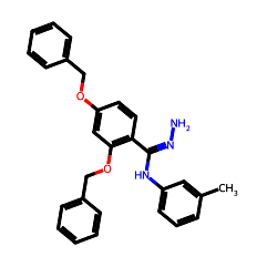 Cc1cccc(NC(=NN)c2ccc(OCc3ccccc3)cc2OCc2ccccc2)c1